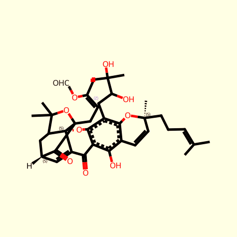 CC(C)=CCC[C@@]1(C)C=Cc2c(O)c3c(c(CC(O)C(C)(C)O)c2O1)O[C@]12C(=C[C@@H]4CC1C(C)(C)OC2(C/C=C(/C)OC=O)C4=O)C3=O